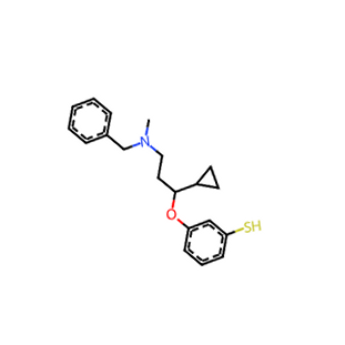 CN(CCC(Oc1cccc(S)c1)C1CC1)Cc1ccccc1